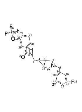 O=C(NCC1C2CN(Cc3cc(F)cc(F)c3)CC12)c1cccc(OC(F)(F)F)c1